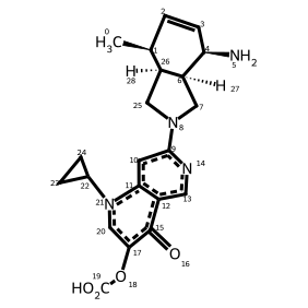 C[C@H]1C=C[C@@H](N)[C@H]2CN(c3cc4c(cn3)c(=O)c(OC(=O)O)cn4C3CC3)C[C@H]21